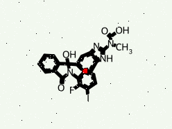 CN(C(=O)O)c1nc2cc(C3(O)c4ccccc4C(=O)N3c3cccc(I)c3F)ccc2[nH]1